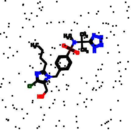 CCCCc1nc(Cl)c(CO)n1Cc1ccc(S(=O)(=O)N(C)C(C)(C)c2nnn[nH]2)cc1